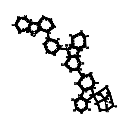 c1cc(-c2cccc3c2oc2ccccc23)cc(-n2c3ccccc3c3cc(-c4ccc5c(c4)-c4ccccc4C54C5CC6CC7CC4C75C6)ccc32)c1